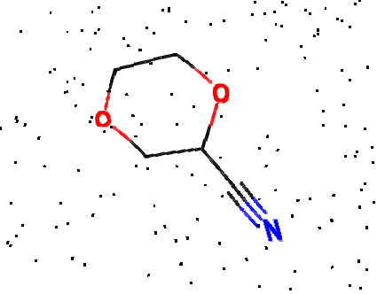 N#CC1COCCO1